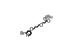 CC(C)(C)OC(=O)CCOCCCCOc1ccnc(Br)c1